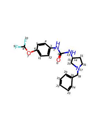 O=C(Nc1ccc(OC(F)F)cc1)N[C@H]1CCN(Cc2ccccc2)C1